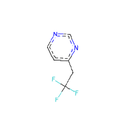 FC(F)(F)Cc1ccncn1